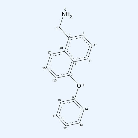 NCc1cccc2c(Oc3ccccc3)cccc12